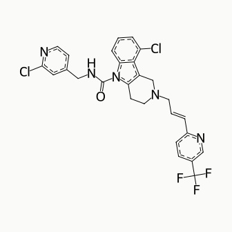 O=C(NCc1ccnc(Cl)c1)n1c2c(c3c(Cl)cccc31)CN(CC=Cc1ccc(C(F)(F)F)cn1)CC2